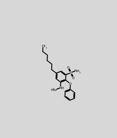 CCCCNc1cc(CCCCCC(F)(F)F)cc(S(N)(=O)=O)c1Oc1ccccc1